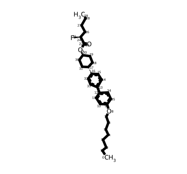 CCCCCCCCOc1ccc(-c2ccc([C@H]3CC[C@H](OC(=O)[C@@H](F)CCCC)CC3)cc2)cc1